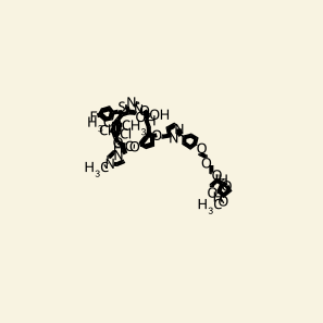 CO[C@@H]1CO[C@H]2[C@@H]1OC[C@H]2OCCOCCO[C@H]1CC[C@H](c2nccc(COc3ccc4cc3C[C@H](C(=O)O)Oc3ncnc5sc(-c6ccc(F)cc6)c(c35)-c3c(C)c(Cl)c(c(Cl)c3C)O[C@H](CN3CCN(C)CC3)CO4)n2)CC1